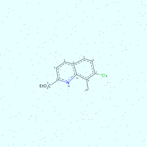 CCOC(=O)c1ccc2ccc(Cl)c(C)c2n1